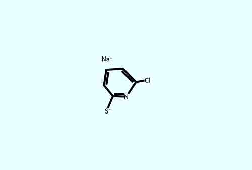 [Na+].[S-]c1cccc(Cl)n1